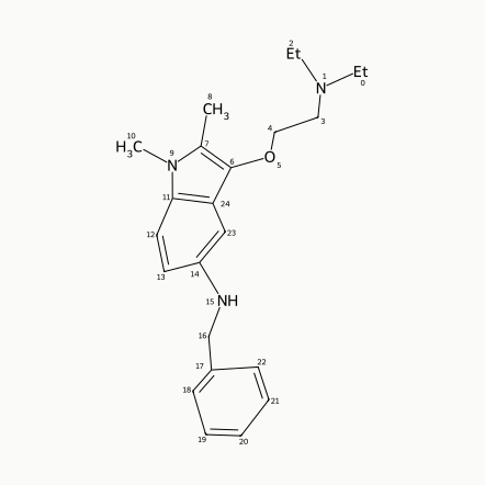 CCN(CC)CCOc1c(C)n(C)c2ccc(NCc3ccccc3)cc12